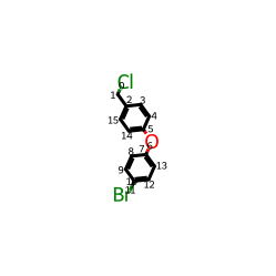 ClCc1ccc(Oc2ccc(Br)cc2)cc1